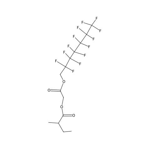 CCC(C)C(=O)OCC(=O)OCC(F)(F)C(F)(F)C(F)(F)C(F)(F)C(F)(F)C(F)(F)F